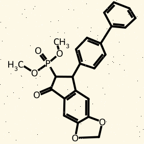 COP(=O)(OC)C1C(=O)c2cc3c(cc2C1c1ccc(-c2ccccc2)cc1)OCO3